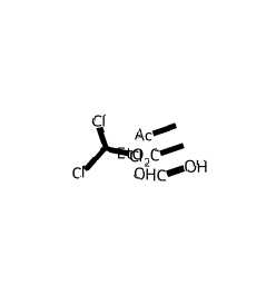 CC(C)=O.CCOC(C)=O.ClC(Cl)Cl.O=CO